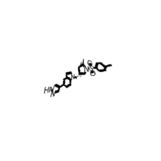 Cc1ccc(S(=O)(=O)N2C[C@H](Cn3ccc4cc(-c5cn[nH]c5)ccc43)C[C@H]2C)cc1